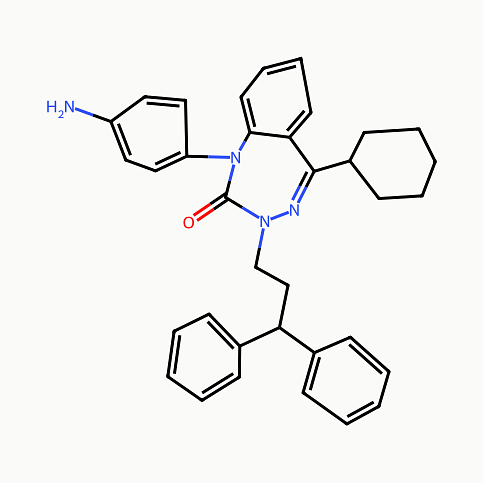 Nc1ccc(N2C(=O)N(CCC(c3ccccc3)c3ccccc3)N=C(C3CCCCC3)c3ccccc32)cc1